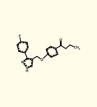 CCCC(=O)c1ccc(OCc2c[nH]nc2-c2ccc(F)cc2)cc1